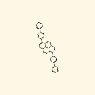 c1ccc(-c2ccc(-c3ccc4ccc5c(-c6ccc(-c7cccnc7)cc6)ccc6ccc3c4c65)cc2)nc1